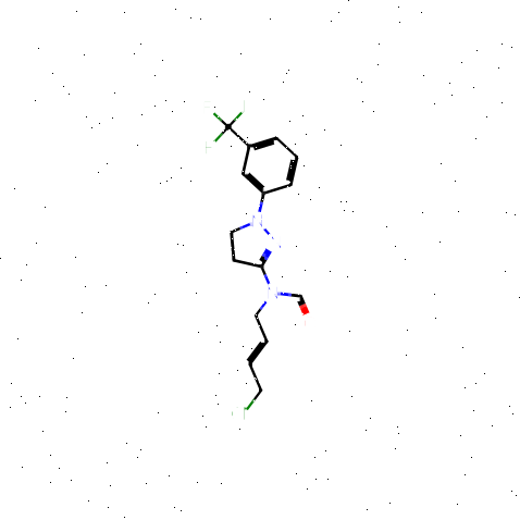 O=CN(CC=CCCl)C1=NN(c2cccc(C(F)(F)F)c2)CC1